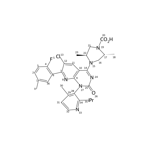 Cc1ccc(F)c(-c2nc3c(cc2Cl)c(N2C[C@@H](C)N(C(=O)O)C[C@@H]2C)nc(=O)n3-c2c(C)ccnc2C(C)C)c1